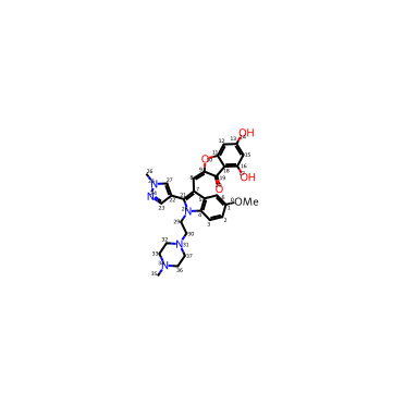 COc1ccc2c(c1)c(C=C1Oc3cc(O)cc(O)c3C1=O)c(-c1cnn(C)c1)n2CCN1CCN(C)CC1